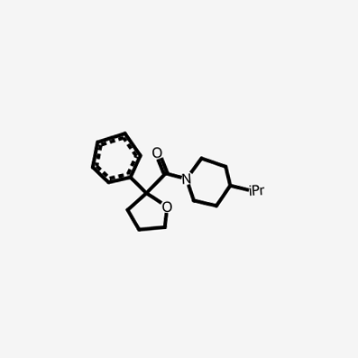 CC(C)C1CCN(C(=O)C2(c3ccccc3)CCCO2)CC1